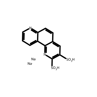 O=S(=O)(O)c1cc2ccc3ncccc3c2nc1S(=O)(=O)O.[Na].[Na]